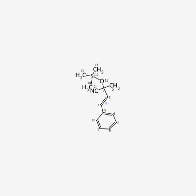 CC(C#N)(/C=C/c1ccccc1)O[Si](C)(C)C